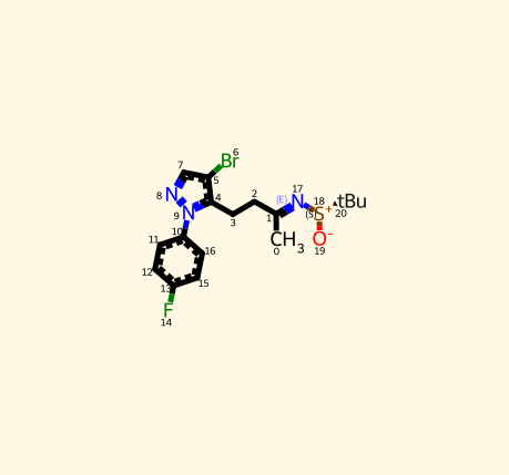 C/C(CCc1c(Br)cnn1-c1ccc(F)cc1)=N\[S@+]([O-])C(C)(C)C